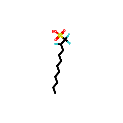 CCCCCCCCCC(F)C(F)(F)S(=O)(=O)O